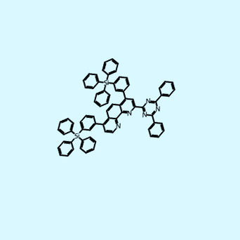 c1ccc(-c2nc(-c3ccccc3)nc(-c3cc(-c4cccc([Si](c5ccccc5)(c5ccccc5)c5ccccc5)c4)c4ccc5c(-c6cccc([Si](c7ccccc7)(c7ccccc7)c7ccccc7)c6)ccnc5c4n3)n2)cc1